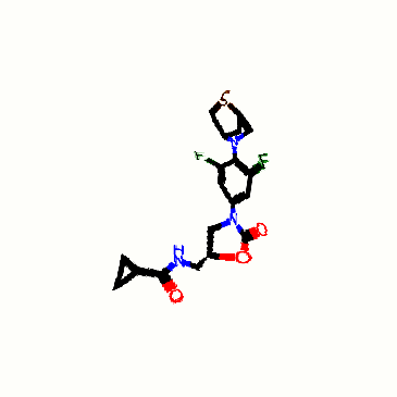 O=C(NC[C@H]1CN(c2cc(F)c(N3C=C4CC3CS4)c(F)c2)C(=O)O1)C1CC1